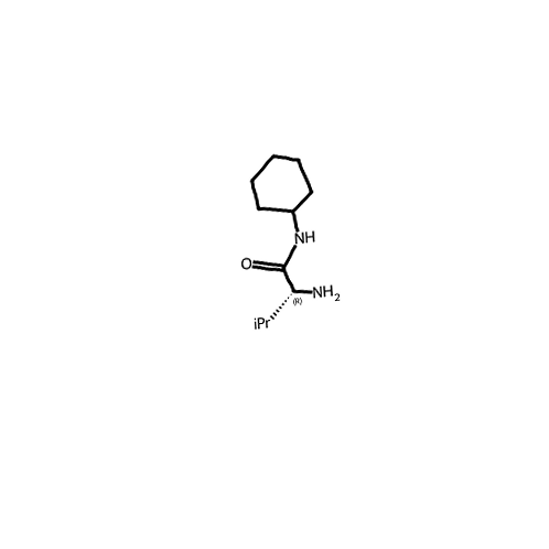 CC(C)[C@@H](N)C(=O)NC1CCCCC1